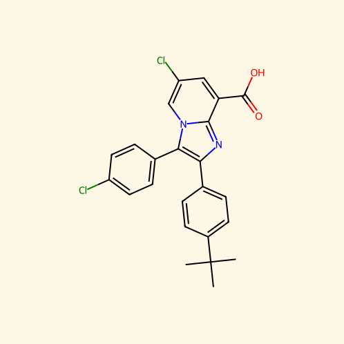 CC(C)(C)c1ccc(-c2nc3c(C(=O)O)cc(Cl)cn3c2-c2ccc(Cl)cc2)cc1